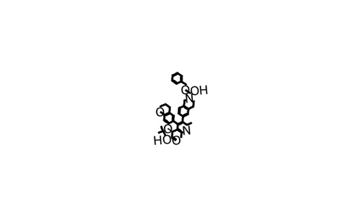 Cc1nc(C)c([C@H](OC(C)(C)C)C(=O)O)c(-c2ccc3c(c2)CCCO3)c1-c1ccc2c(c1)CCN(C(O)OCc1ccccc1)C2